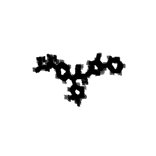 Cc1nc(NC(=O)C(c2ccc(/C(N)=N/N(C)N)cc2)C2CCC(F)(F)C2)sc1-c1cccnc1